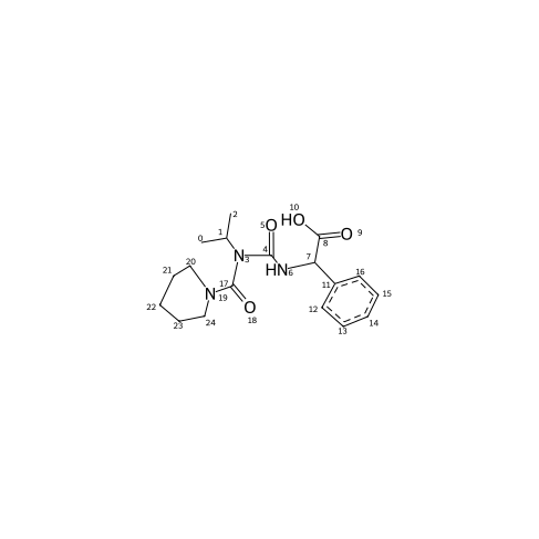 CC(C)N(C(=O)NC(C(=O)O)c1ccccc1)C(=O)N1CCCCC1